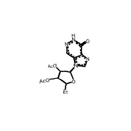 CCC1OC(n2cnc3c(=O)[nH]ncc32)C(OC(C)=O)C1OC(C)=O